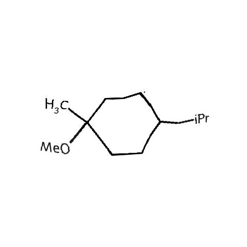 COC1(C)C[CH]C(C(C)C)CC1